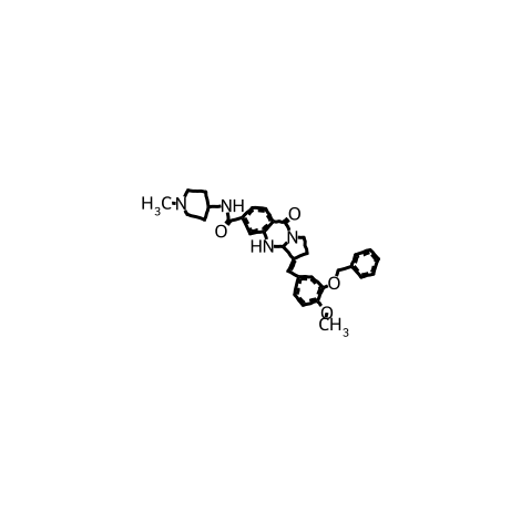 COc1ccc(/C=C2\CCN3C(=O)c4ccc(C(=O)NC5CCN(C)CC5)cc4NC23)cc1OCc1ccccc1